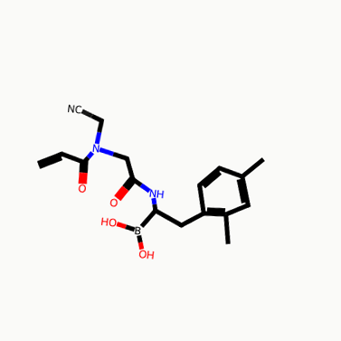 C=CC(=O)N(CC#N)CC(=O)NC(Cc1ccc(C)cc1C)B(O)O